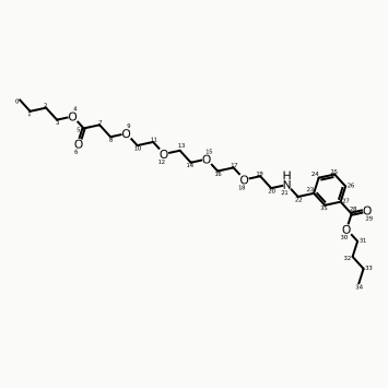 CCCCOC(=O)CCOCCOCCOCCOCCNCc1cccc(C(=O)OCCCC)c1